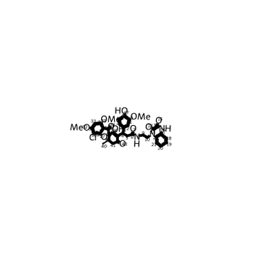 COc1cc(C(CC(=O)NCCn2c(=O)c(=O)[nH]c3ccccc32)C2=C(O)[C@@]3(Oc4c(Cl)c(OC)cc(OC)c4C3=O)[C@H](C)CC2=O)ccc1O